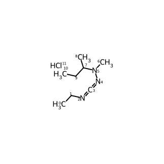 CCN=C=NN(C)C(C)CC.Cl